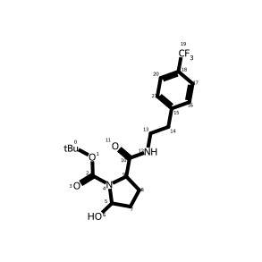 CC(C)(C)OC(=O)N1C(O)CCC1C(=O)NCCc1ccc(C(F)(F)F)cc1